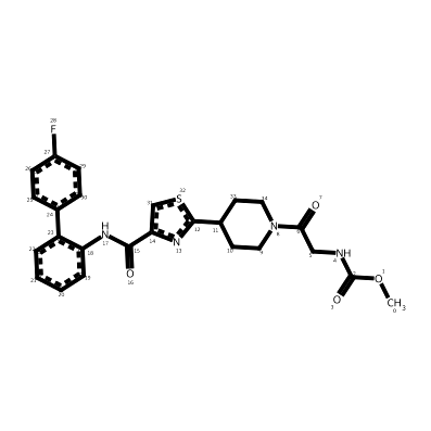 COC(=O)NCC(=O)N1CCC(c2nc(C(=O)Nc3ccccc3-c3ccc(F)cc3)cs2)CC1